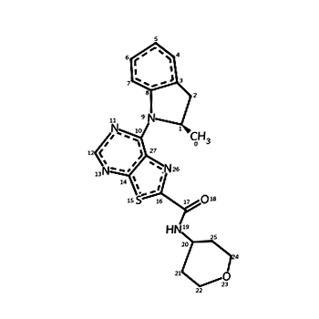 C[C@@H]1Cc2ccccc2N1c1ncnc2sc(C(=O)NC3CCOCC3)nc12